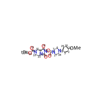 COc1ccc(N2CCN(C(=O)ON3C(=O)C4CN(C(=O)OC(C)(C)C)CCN4C3=O)CC2)cc1